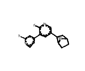 Fc1cc(-c2cc(C3CC4CCC3N4)cnc2F)ccn1